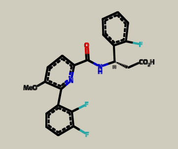 COc1ccc(C(=O)N[C@@H](CC(=O)O)c2ccccc2F)nc1-c1cccc(F)c1F